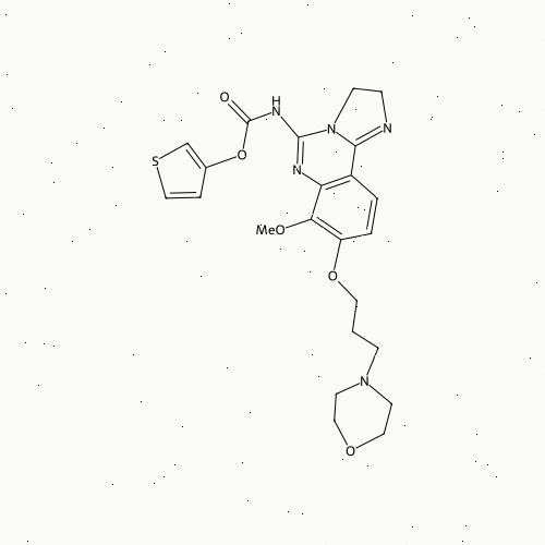 COc1c(OCCCN2CCOCC2)ccc2c1N=C(NC(=O)Oc1ccsc1)N1CCN=C21